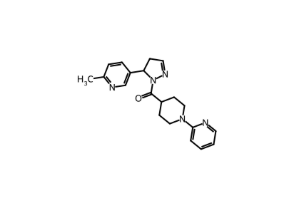 Cc1ccc(C2CC=NN2C(=O)C2CCN(c3ccccn3)CC2)cn1